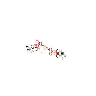 CC(C)(C)OOC(=O)OCCOCCOC(=O)OOC(C)(C)C